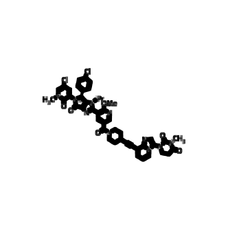 COc1ncc(C(=O)N2CCC(C#Cc3cccn4c(N5CCC(=O)N(C)C5=O)cnc34)CC2)cc1-c1nc2c(n1C(C)C)[C@H](c1ccc(Cl)cc1)N(c1cc(Cl)cn(C)c1=O)C2=O